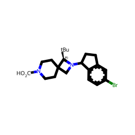 CC(C)(C)[C@H]1N(C2CCc3cc(Br)ccc32)CC12CCN(C(=O)O)CC2